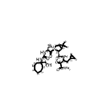 CC1(C)C2CN(C(=O)[C@@H](NC(=O)NC3(CO)CCCCCC3)C(C)(C)C)[C@H](C(=O)NC(CC3CC3)C(=O)C(N)=O)C21